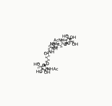 CNCC(CNC(=O)CCCCO[C@@H]1OC(CO)[C@H](O)C(O)C1NC(C)=O)NC(=O)CCCCO[C@@H]1OC(CO)[C@H](O)C(O)C1NC(C)=O